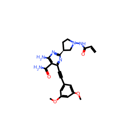 C=CC(=O)NN1CC[C@H](c2nc(N)c(C(N)=O)c(C#Cc3cc(OC)cc(OC)c3)n2)C1